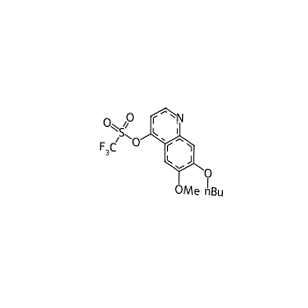 CCCCOc1cc2nccc(OS(=O)(=O)C(F)(F)F)c2cc1OC